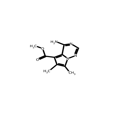 COC(=O)c1c(C)c(C)n2ncnc(N)c12